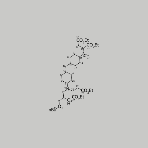 CCCCOCC(O)CN(C1CCC(CC2CCC(N(C)C(CC(=O)OCC)C(=O)OCC)CC2)CC1)C(CC(=O)OCC)C(=O)OCC